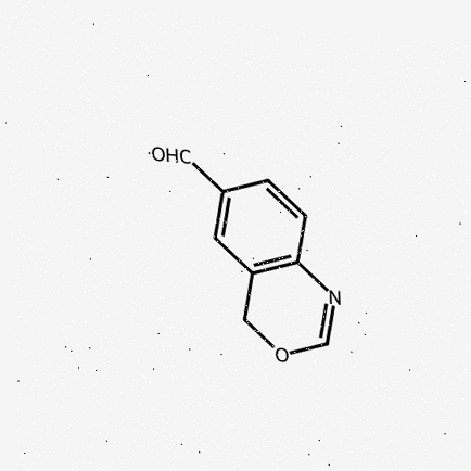 O=[C]c1ccc2c(c1)COC=N2